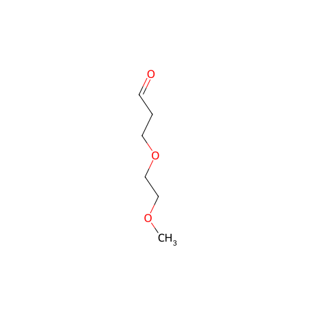 COCCOCCC=O